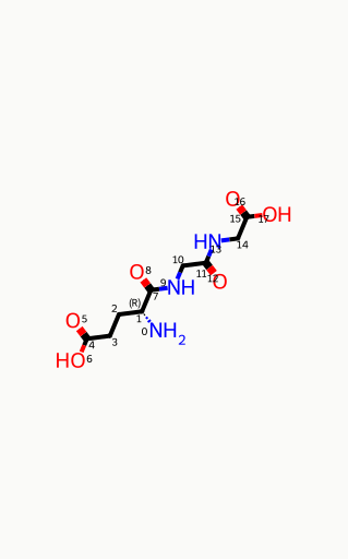 N[C@H](CCC(=O)O)C(=O)NCC(=O)NCC(=O)O